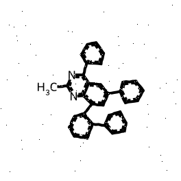 Cc1nc(-c2ccccc2)c2cc(-c3ccccc3)cc(-c3ccccc3-c3ccccc3)c2n1